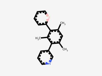 Cc1cc(C)c(-c2cccnc2)c(C)c1-c1bcccc1